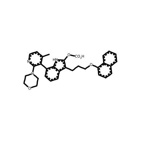 Cc1ccnc(N2CCOCC2)c1-c1cccc2c(CCCOc3cccc4ccccc34)c(OC(=O)O)[nH]c12